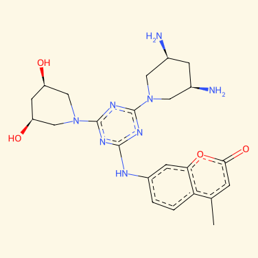 Cc1cc(=O)oc2cc(Nc3nc(N4C[C@H](N)C[C@H](N)C4)nc(N4C[C@H](O)C[C@H](O)C4)n3)ccc12